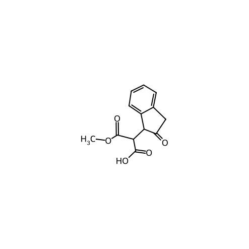 COC(=O)C(C(=O)O)C1C(=O)Cc2ccccc21